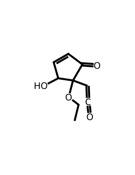 CCOC1(C=C=O)C(=O)C=CC1O